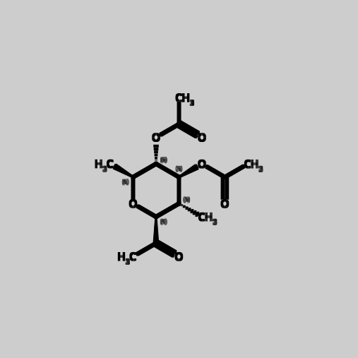 CC(=O)O[C@@H]1[C@@H](OC(C)=O)[C@H](C)[C@@H](C(C)=O)O[C@H]1C